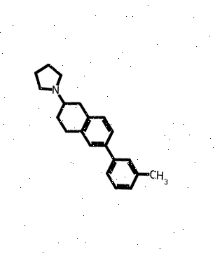 Cc1cccc(-c2ccc3c(c2)CCC(N2CCCC2)C3)c1